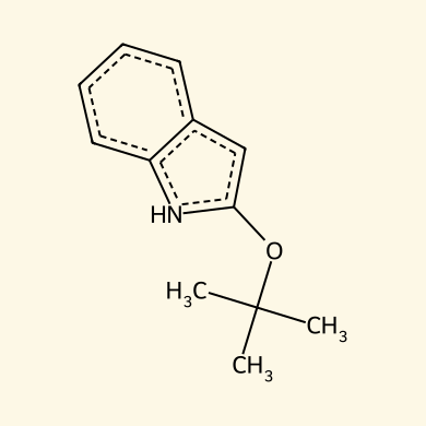 CC(C)(C)Oc1cc2ccccc2[nH]1